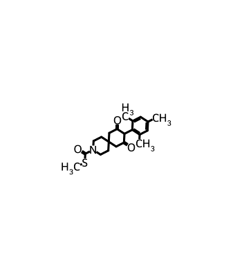 CSC(=O)N1CCC2(CC1)CC(=O)C(c1c(C)cc(C)cc1C)C(=O)C2